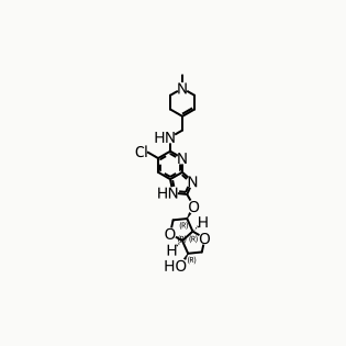 CN1CC=C(CNc2nc3nc(O[C@@H]4CO[C@H]5[C@@H]4OC[C@H]5O)[nH]c3cc2Cl)CC1